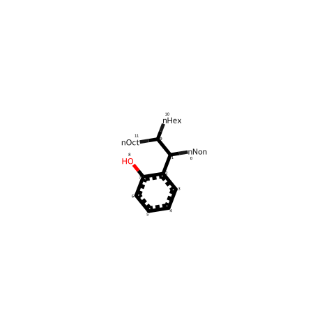 CCCCCCCCCC(c1ccccc1O)C(CCCCCC)CCCCCCCC